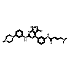 CN(C)C/C=C/C(=O)Nc1cccc(-c2nc(Nc3cccc(N4CCN(C)CC4)c3)nc3[nH]nc(F)c23)c1